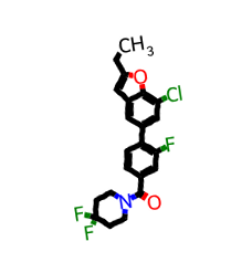 CCc1cc2cc(-c3ccc(C(=O)N4CCC(F)(F)CC4)cc3F)cc(Cl)c2o1